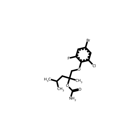 CC(C)CC(C)(COc1c(F)cc(Br)cc1Cl)OC(N)=O